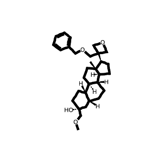 COC[C@@]1(O)CC[C@H]2[C@H](CC[C@@H]3[C@@H]2CC[C@]2(C)[C@@H](C4(COCc5ccccc5)COC4)CC[C@@H]32)C1